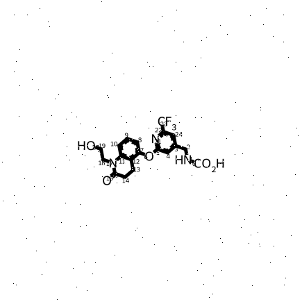 O=C(O)NCc1cc(Oc2cccc3c2CCC(=O)N3CCO)nc(C(F)(F)F)c1